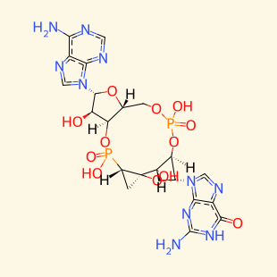 Nc1nc2c(ncn2[C@@H]2O[C@@]34C[C@@H]3P(=O)(O)O[C@H]3[C@@H](O)[C@H](n5cnc6c(N)ncnc65)O[C@@H]3COP(=O)(O)O[C@@H]2[C@@H]4O)c(=O)[nH]1